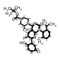 Cc1cccc(C(C)C)c1-n1c(=O)nc(N2CCN(C(=O)OC(C)(C)C)C[C@@H]2C)c2cc(F)c(-c3cc(Cl)ccc3O)nc21